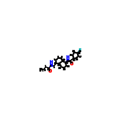 CC(C)CC(=O)NCc1cccc2c(NC(=O)c3ccc(F)cc3)cccc12